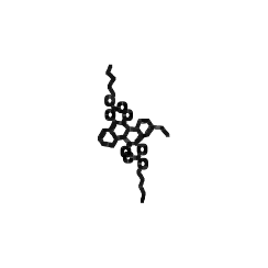 CCCCCOC(=O)OC1=c2ccccc2=C2C(=O)C(OC(=O)OCCCCC)=c3cc(CC)ccc3=C2C1=O